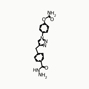 NNC(=O)c1ccc(Cc2cn(-c3ccc(OC(N)=O)cc3)nn2)cc1